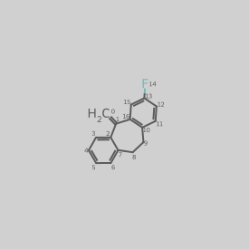 C=C1c2ccccc2CCc2ccc(F)cc21